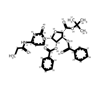 CCC(=O)Nc1ccn([C@@H]2O[C@H](C(=O)OC(C)(C)C)[C@@H](OC(=O)c3ccccc3)[C@@H]2OC(=O)c2ccccc2)c(=O)n1